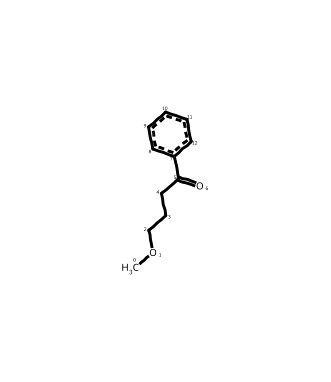 COCCCC(=O)c1ccccc1